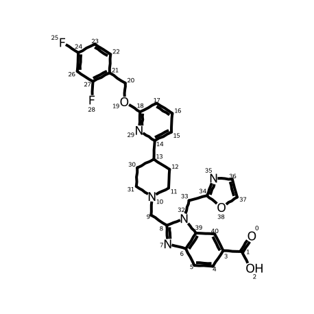 O=C(O)c1ccc2nc(CN3CCC(c4cccc(OCc5ccc(F)cc5F)n4)CC3)n(Cc3ncco3)c2c1